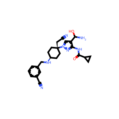 N#CC[C@]1(n2cc(C(N)O)c(NC(=O)C3CC3)n2)CC[C@H](NCc2cccc(C#N)c2)CC1